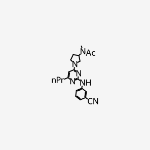 CCCc1cc(N2CCC(N(C)C(C)=O)C2)nc(Nc2cccc(C#N)c2)n1